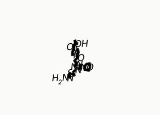 CC(O)C(=O)N1CCN(C(=O)Cc2nc(-c3cnc(N)s3)nc(N3CCOCC3)n2)CC1